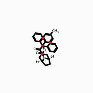 Cc1ccc(COC(=O)N2[C@@H]3CC[C@H]2CN(C(=O)C(c2ccccc2)c2ccccc2)C3)cc1